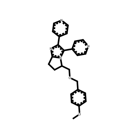 COc1ccc(COCC2CCc3nc(-c4ccncc4)c(-c4ccncc4)n32)cc1